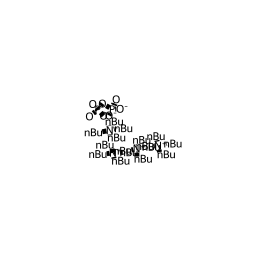 CCCC[N+](CCCC)(CCCC)CCCC.CCCC[N+](CCCC)(CCCC)CCCC.CCCC[N+](CCCC)(CCCC)CCCC.CCCC[N+](CCCC)(CCCC)CCCC.O=P([O-])([O-])OP(=O)([O-])[O-]